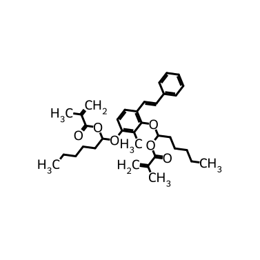 C=C(C)C(=O)OC(CCCCC)Oc1ccc(C=Cc2ccccc2)c(OC(CCCCC)OC(=O)C(=C)C)c1C